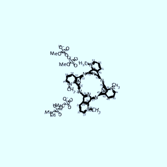 COS(=O)(=O)[O-].COS(=O)(=O)[O-].COS(=O)(=O)[O-].COS(=O)(=O)[O-].C[n+]1cccc2c1-c1nc-2nc2[nH]c(nc3nc(nc4[nH]c(n1)c1ccc[n+](C)c41)-c1ccc[n+](C)c1-3)c1ccc[n+](C)c21.[Cu]